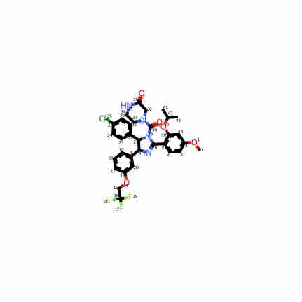 COc1ccc(C2=NC(c3cccc(OCC(F)(F)F)c3)C(c3ccc(Cl)cc3)N2C(=O)N2CCNC(=O)C2)c(OC(C)C)c1